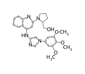 COc1cc(-n2cnc(Nc3cc(N4CCCC4CO)nc4ccccc34)c2)cc(OC)c1OC